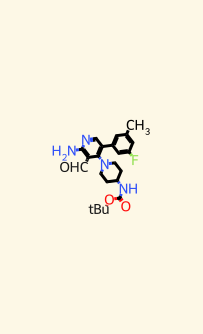 Cc1cc(F)cc(-c2cnc(N)c(C=O)c2N2CCC(NC(=O)OC(C)(C)C)CC2)c1